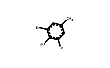 Cc1cc(Br)c(O)c(Br)c1